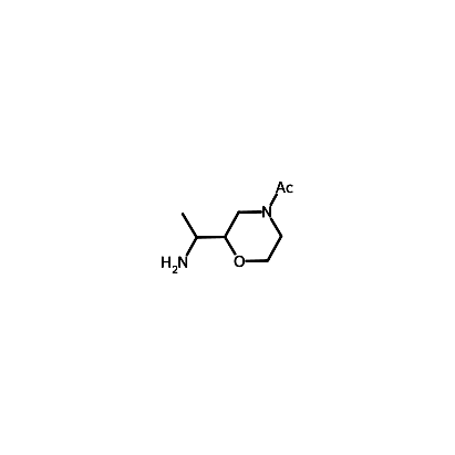 CC(=O)N1CCOC(C(C)N)C1